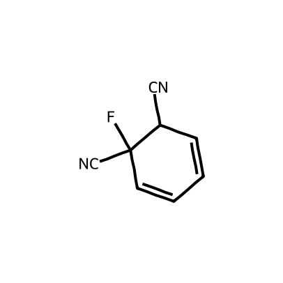 N#CC1C=CC=CC1(F)C#N